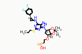 CCCSc1nc(NC2C[C@H]2c2ccc(F)c(F)c2)c2nnn([C@@H]3C[C@H](OCCPO)[C@H]4OC(C)(C)OC34)c2n1